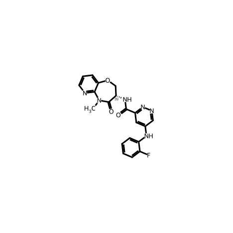 CN1C(=O)[C@@H](NC(=O)c2cc(Nc3ccccc3F)cnn2)COc2cccnc21